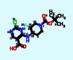 CC(C)(C)OC(=O)N1CC[C@@H](Nc2nc(Cl)ncc2C(=O)O)[C@@H](F)C1